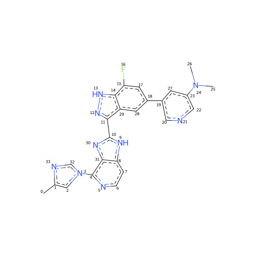 Cc1cn(-c2nccc3[nH]c(-c4n[nH]c5c(F)cc(-c6cncc(N(C)C)c6)cc45)nc23)cn1